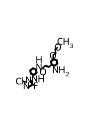 CCOCCOc1ccc(N)c(/C=C/C(=O)Nc2cccc(Nc3nc(Cl)ncc3F)c2)c1